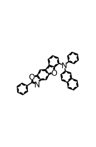 c1ccc(-c2nc3cc4oc5c(N(c6ccccc6)c6ccc7ccccc7c6)cccc5c4cc3o2)cc1